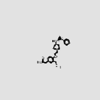 CCc1cc(CC(=O)O)ccc1OCCN1CCC(N[C@@H]2C[C@H]2c2ccccc2)CC1